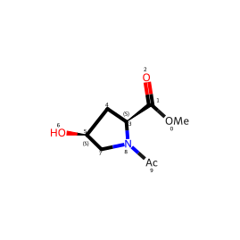 COC(=O)[C@@H]1C[C@H](O)CN1C(C)=O